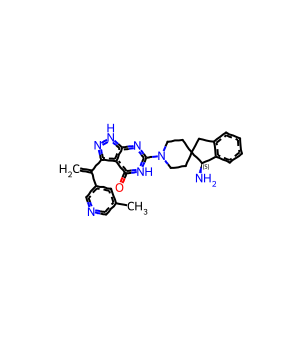 C=C(c1cncc(C)c1)c1n[nH]c2nc(N3CCC4(CC3)Cc3ccccc3[C@H]4N)[nH]c(=O)c12